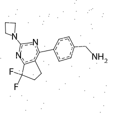 NCc1ccc(-c2nc(N3CCC3)nc3c2CCC3(F)F)cc1